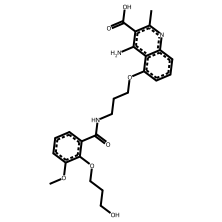 COc1cccc(C(=O)NCCCOc2cccc3nc(C)c(C(=O)O)c(N)c23)c1OCCCO